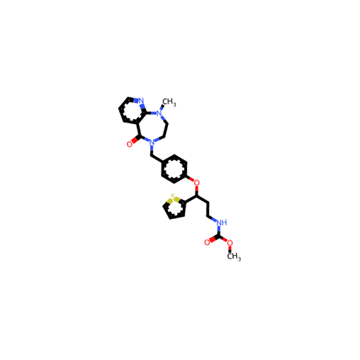 COC(=O)NCCC(Oc1ccc(CN2CCN(C)c3ncccc3C2=O)cc1)c1cccs1